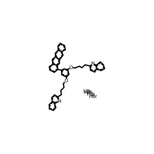 Br.Br.Br.Br.c1ccc2cc3cc4c(-c5cc(OCCCCc6ccc7ccccc7n6)cc(OCCCCc6ccc7ccccc7n6)c5)cccc4cc3cc2c1